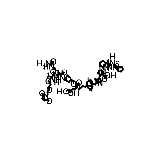 Cc1c(Nc2nc3ccccc3s2)nnc2c1CCCN2c1ccc(-c2cnn(CC34CC5(CCCN(CC[C@H](O)CO)C(=O)OCc6ccc(NC(=O)[C@H](CCCNC(N)=O)NC(=O)[C@@H](NC(=O)CCOCCN7C(=O)C=CC7=O)C(C)C)cc6)C[C@@](C)(C3)C[C@](C)(C5)C4)c2C)c(C(=O)O)n1